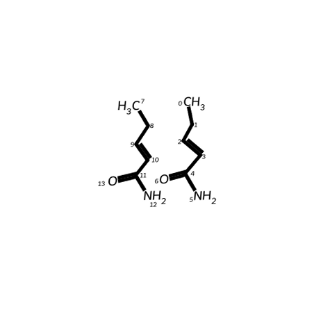 CCC=CC(N)=O.CCC=CC(N)=O